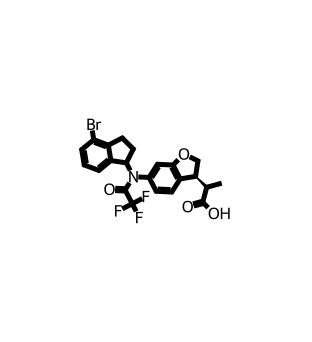 CC(C(=O)O)[C@@H]1COc2cc(N(C(=O)C(F)(F)F)C3CCc4c(Br)cccc43)ccc21